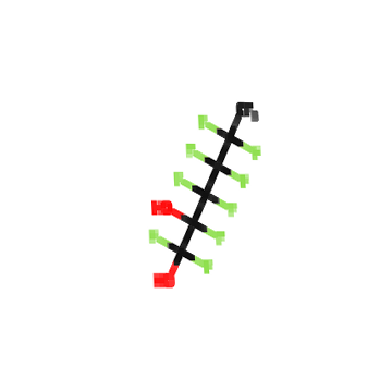 OC(F)(F)C(O)(F)C(F)(F)C(F)(F)C(F)(F)C(F)(F)F